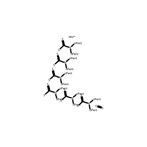 CCCCCN(CCCCC)C(=S)[S-].CCCCCN(CCCCC)C(=S)[S-].CCCCCN(CCCCC)C(=S)[S-].CCCCCN(CCCCC)C(=S)[S-].CCCCCN(CCCCC)C(=S)[S-].CCCCCN(CCCCC)C(=S)[S-].O=S.[Mo+6]